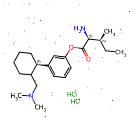 CC[C@H](C)[C@H](N)C(=O)Oc1cccc([C@@H]2CCCCC2CN(C)C)c1.Cl.Cl